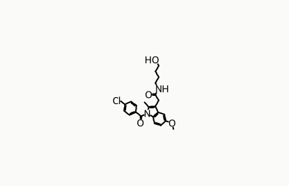 COc1ccc2c(c1)c(CC(=O)NCCCCO)c(C)n2C(=O)c1ccc(Cl)cc1